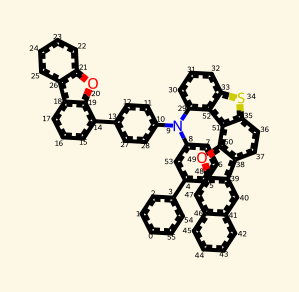 c1ccc(-c2cccc(N(c3ccc(-c4cccc5c4oc4ccccc45)cc3)c3cccc4sc5ccc6c7cc8ccccc8cc7oc6c5c34)c2)cc1